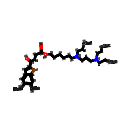 CCCCCCCCCCCCN(CCCCCCCCCCCC)CCCN(CCCCCCCCCCCC)CCCCCCOC(=O)CCC(=O)c1cc2cc(OC)c(OC)cc2s1